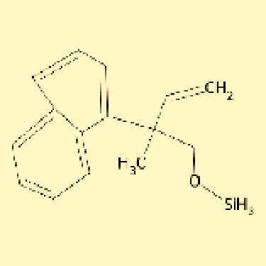 C=CC(C)(CO[SiH3])c1cccc2ccccc12